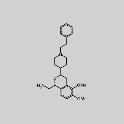 COc1ccc2c(c1OC)CC(C1CCN(CCc3ccccc3)CC1)OC2CN